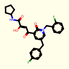 O=C(NC1CCCC1)/C(O)=C/C(=O)c1cc(Cc2ccc(F)cc2)cn(Cc2ccccc2F)c1=O